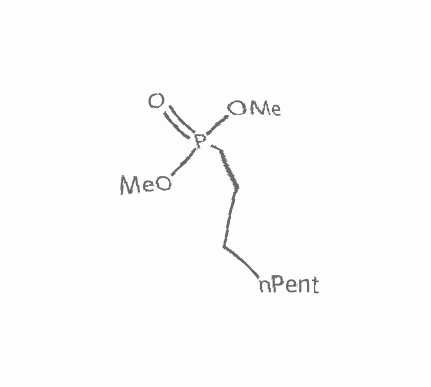 CCCCCCCP(=O)(OC)OC